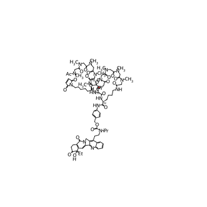 CC[C@@]1(O)C(=O)CCc2c1cc1n(c2=O)Cc2c-1nc1ccccc1c2CCN(C(=O)OCc1ccc(NC(=O)[C@H](CCCCNC(=O)CN(C)C(=O)CN(C)C(=O)CN(C)C(=O)CN(C)C(=O)CN(C)C(=O)CN(C)C(=O)CN(C)C(=O)CN(C)C(=O)CN(C)C(=O)CN(C)C(C)=O)NC(=O)[C@@H](NC(=O)CCCCCN2C(=O)C=CC2=O)C(C)C)cc1)C(C)C